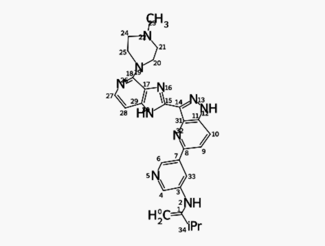 C=C(Nc1cncc(-c2ccc3[nH]nc(-c4nc5c(N6CCN(C)CC6)nccc5[nH]4)c3n2)c1)C(C)C